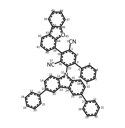 N#Cc1cc(-c2ccccc2)c(-n2c3ccc(-c4ccccc4)cc3c3cc(-c4ccccc4)ccc32)c(C#N)c1-c1cccc2c1oc1ccccc12